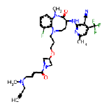 C#CCN(C)CC=CC(=O)N1CC(OCCCN2CCC(Nc3nc(C)cc(C(F)(F)F)c3C#N)C(=O)N(C)c3cccc(F)c32)C1